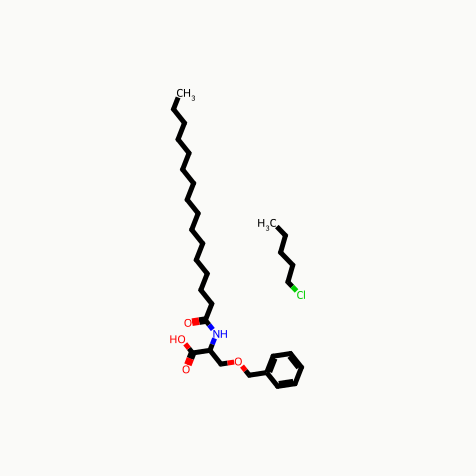 CCCCCCCCCCCCCCCC(=O)NC(COCc1ccccc1)C(=O)O.CCCCCCl